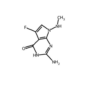 CNn1cc(F)c2c(=O)[nH]c(N)nc21